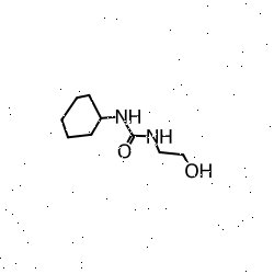 O=C(NCCO)NC1CCCCC1